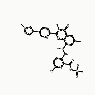 Cc1cc([C@@H](C)Nc2ccc(Cl)nc2C(=O)NS(C)(=O)=O)c2nc(-c3ccc(-c4cnn(C)c4)cn3)n(C)c(=O)c2c1